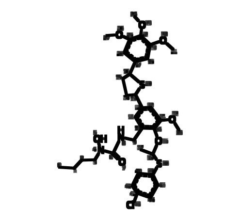 CCCCN(O)C(=O)NCc1cc(C2CCC(c3cc(OC)c(OC)c(OC)c3)S2)cc(OC)c1OC(C)Sc1ccc(Cl)cc1